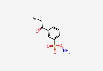 CC(=O)CC(=O)c1cccc(S(=O)(=O)ON)c1